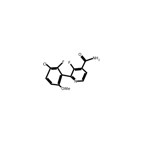 COc1ccc(Cl)c(F)c1-c1nccc(C(N)=O)c1F